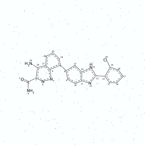 NC(=O)c1nnc2c(-c3ccc4nc(-c5ccccc5Cl)[nH]c4c3)cccc2c1N